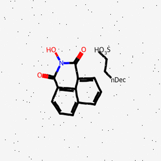 CCCCCCCCCCCCS(=O)(=O)O.O=C1c2cccc3cccc(c23)C(=O)N1O